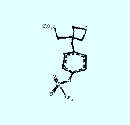 CCOC(=O)CC1(c2ccc(OS(=O)(=O)C(F)(F)F)cc2)COC1